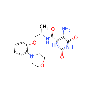 CC(COc1ccccc1N1CCOCC1)NC(=O)c1[nH]c(=O)[nH]c(=O)c1N